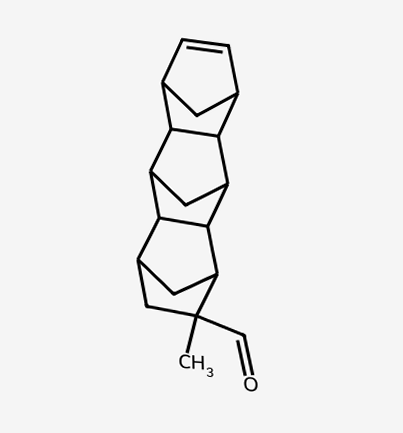 CC1(C=O)CC2CC1C1C3CC(C4C5C=CC(C5)C34)C21